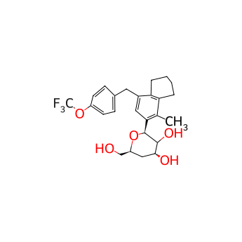 Cc1c([C@@H]2O[C@H](CO)C[C@H](O)C2O)cc(Cc2ccc(OC(F)(F)F)cc2)c2c1CCCC2